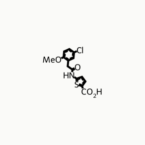 COc1ccc(Cl)cc1CC(=O)Nc1ccc(C(=O)O)s1